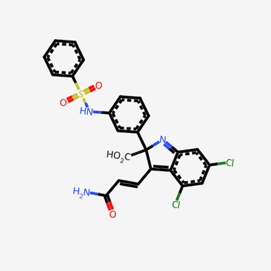 NC(=O)C=CC1=c2c(Cl)cc(Cl)cc2=NC1(C(=O)O)c1cccc(NS(=O)(=O)c2ccccc2)c1